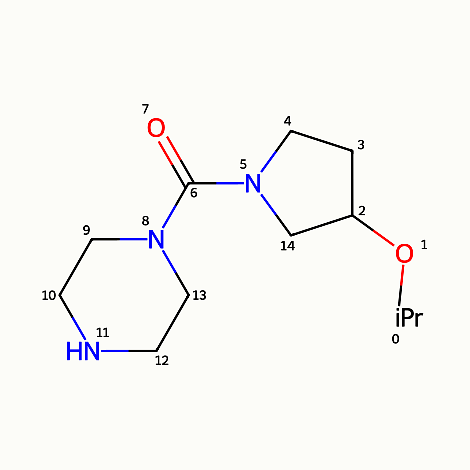 CC(C)OC1CCN(C(=O)N2CCNCC2)C1